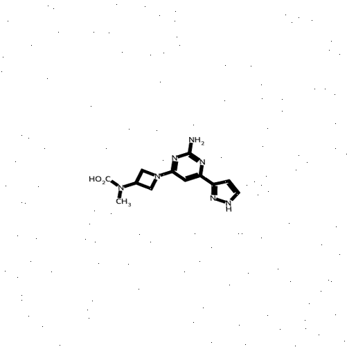 CN(C(=O)O)C1CN(c2cc(-c3cc[nH]n3)nc(N)n2)C1